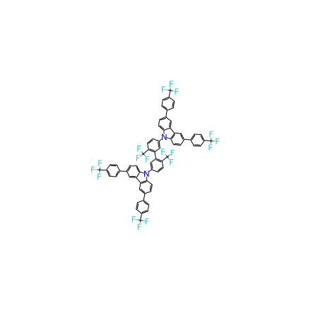 FC(F)(F)c1ccc(-c2ccc3c(c2)c2cc(-c4ccc(C(F)(F)F)cc4)ccc2n3-c2ccc(C(F)(F)F)c(-c3cc(-n4c5ccc(-c6ccc(C(F)(F)F)cc6)cc5c5cc(-c6ccc(C(F)(F)F)cc6)ccc54)ccc3C(F)(F)F)c2)cc1